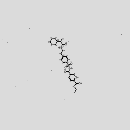 CCOC(=O)c1ccc(C(=O)NS(=O)(=O)c2ccc(CCNC(=O)C(C)C3CCCCC3)cc2)cn1